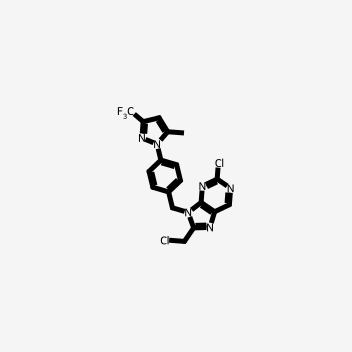 Cc1cc(C(F)(F)F)nn1-c1ccc(Cn2c(CCl)nc3cnc(Cl)nc32)cc1